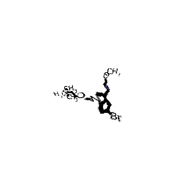 COC/C=C/c1cn(COCC[Si](C)(C)C)c2ccc(Br)cc12